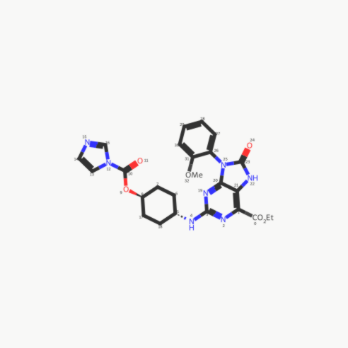 CCOC(=O)c1nc(N[C@H]2CC[C@H](OC(=O)n3ccnc3)CC2)nc2c1[nH]c(=O)n2-c1ccccc1OC